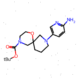 CC(C)(C)OC(=O)N1CCOC2(CCCN(c3ccc(N)nc3)C2)C1